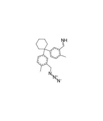 Cc1ccc(C2(c3ccc(C)c(CN=[N+]=[N-])c3)CCCCC2)cc1C=N